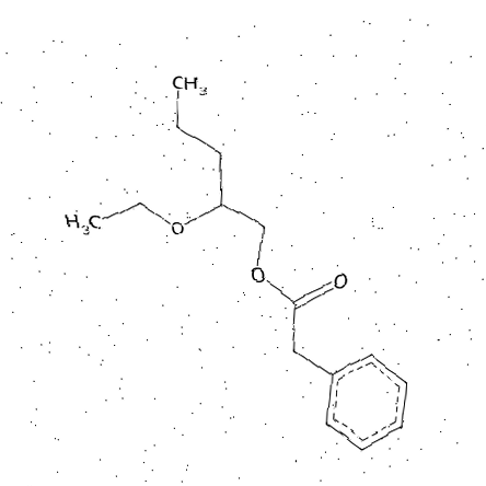 CCCC(COC(=O)Cc1ccccc1)OCC